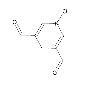 O=CC1=CN(Cl)C=C(C=O)C1